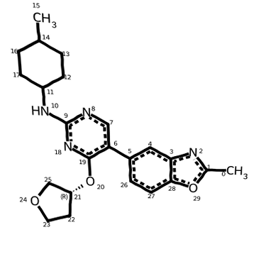 Cc1nc2cc(-c3cnc(NC4CCC(C)CC4)nc3O[C@@H]3CCOC3)ccc2o1